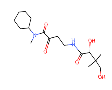 CN(C(=O)C(=O)CCNC(=O)[C@H](O)C(C)(C)CO)C1CCCCC1